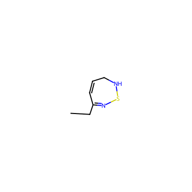 CCC1=NSNCC=C1